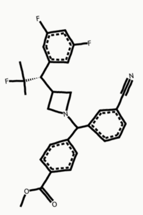 COC(=O)c1ccc(C(c2cccc(C#N)c2)N2CC([C@@H](c3cc(F)cc(F)c3)C(C)(C)F)C2)cc1